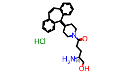 Cl.N[C@H](CO)CCC(=O)N1CCC(=C2c3ccccc3C=Cc3ccccc32)CC1